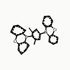 Cc1cc(N2c3ccccc3Oc3ccccc32)cc(C)c1B1c2ccccc2Oc2ccccc21